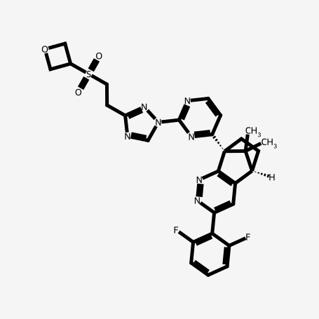 CC1(C)[C@H]2CC[C@]1(c1ccnc(-n3cnc(CCS(=O)(=O)C4COC4)n3)n1)c1nnc(-c3c(F)cccc3F)cc12